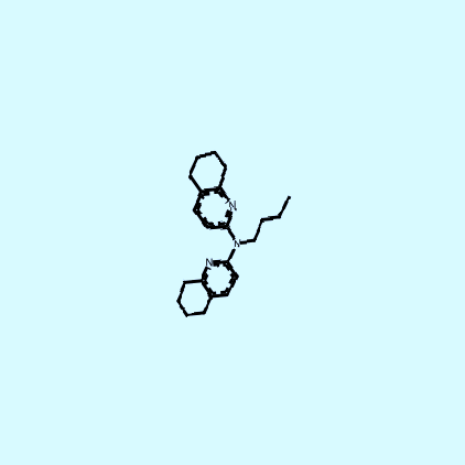 CCCCN(c1ccc2c(n1)CCCC2)c1ccc2c(n1)CCCC2